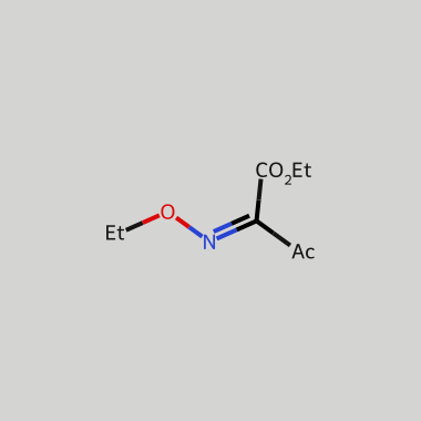 CCON=C(C(C)=O)C(=O)OCC